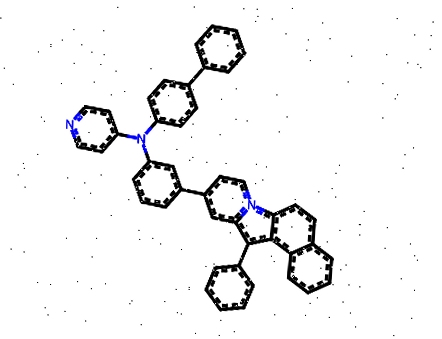 c1ccc(-c2ccc(N(c3ccncc3)c3cccc(-c4ccn5c(c4)c(-c4ccccc4)c4c6ccccc6ccc45)c3)cc2)cc1